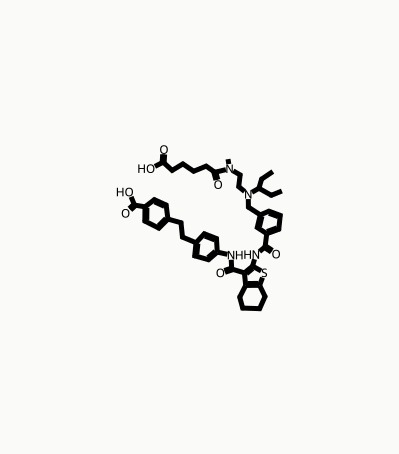 CCC(CC)N(CCN(C)C(=O)CCCCC(=O)O)Cc1cccc(C(=O)Nc2sc3c(c2C(=O)Nc2ccc(CCc4ccc(C(=O)O)cc4)cc2)CCCC3)c1